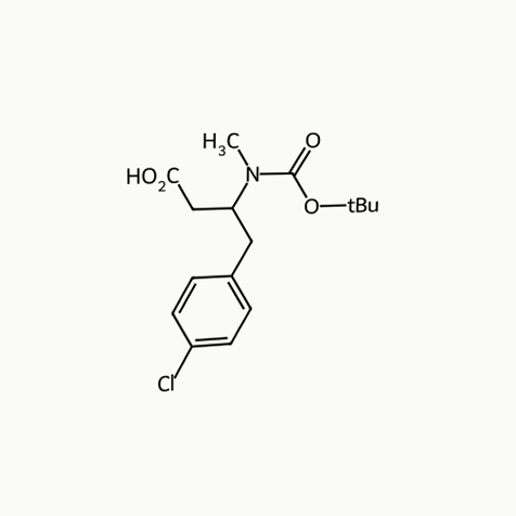 CN(C(=O)OC(C)(C)C)C(CC(=O)O)Cc1ccc(Cl)cc1